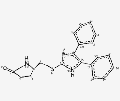 O=C1CC[C@H](CSc2nc(-c3ccccc3)c(-c3ccccc3)[nH]2)N1